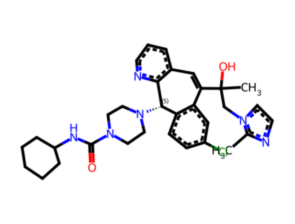 Cc1nccn1CC(C)(O)C1=Cc2cccnc2[C@@H](N2CCN(C(=O)NC3CCCCC3)CC2)c2ccc(Cl)cc21